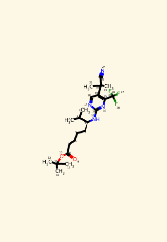 CC(C)[C@H](CCCCC(=O)OC(C)(C)C)Nc1ncc(C(C)(C)C#N)c(C(F)(F)F)n1